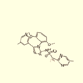 COc1cccc(OC)c1-n1c(NS(=O)(=O)[C@@H](C)c2ncc(C)cn2)nnc1-c1cncc(C)c1